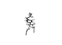 CCOC(=O)C(C(=O)OCC)c1ccc(CCBr)cc1